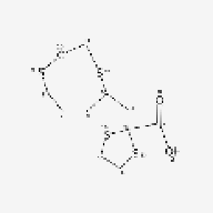 O=C(O)C1(CC2CCCSCCS2)SCCS1